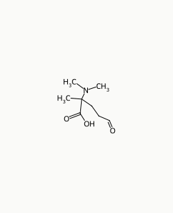 CN(C)C(C)(CCC=O)C(=O)O